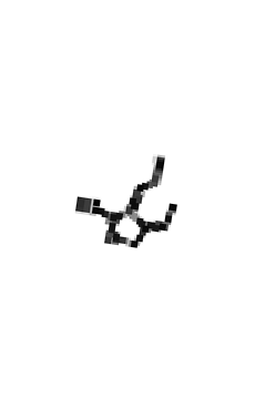 C=C/C=C1/B(O)OC/C1=C/C